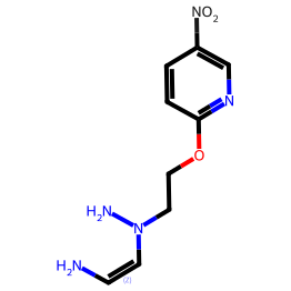 N/C=C\N(N)CCOc1ccc([N+](=O)[O-])cn1